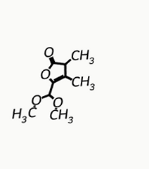 COC(OC)C1=C(C)C(C)C(=O)O1